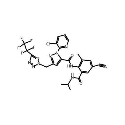 Cc1cc(C#N)cc(C(=O)NC(C)C)c1NC(=O)c1cc(Cn2nnc(C(F)(F)C(F)(F)F)n2)nn1-c1ncccc1Cl